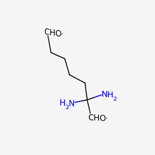 NC(N)([C]=O)CCCC[C]=O